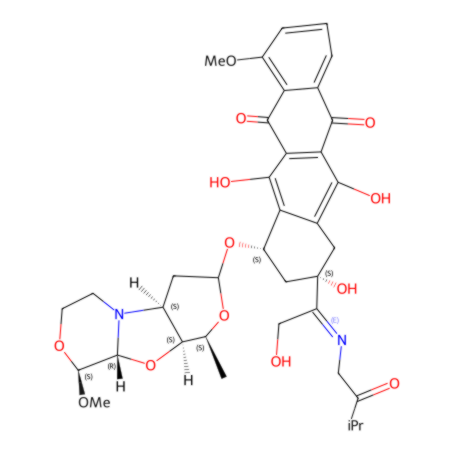 COc1cccc2c1C(=O)c1c(O)c3c(c(O)c1C2=O)C[C@@](O)(/C(CO)=N/CC(=O)C(C)C)C[C@@H]3OC1C[C@H]2[C@H](O[C@@H]3[C@@H](OC)OCCN32)[C@H](C)O1